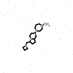 CN1CCCN(N2CCN3C(CN4CCC4)CCC3C2)CC1